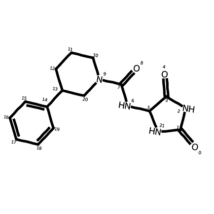 O=C1NC(=O)C(NC(=O)N2CCCC(c3ccccc3)C2)N1